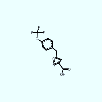 O=C(O)c1cc(Cc2ccc(OC(F)(F)F)cc2)on1